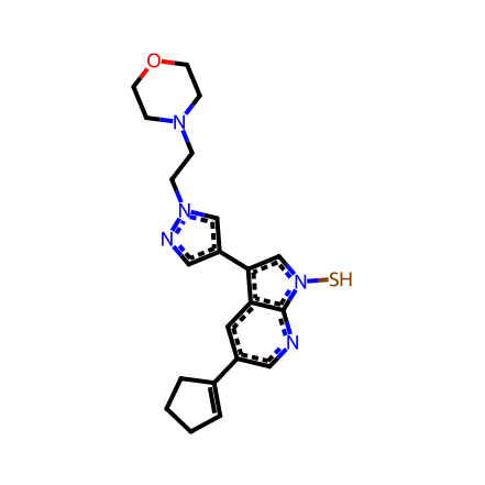 Sn1cc(-c2cnn(CCN3CCOCC3)c2)c2cc(C3=CCCC3)cnc21